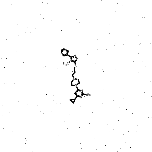 Cn1c(SCCCN2CCN(c3cc(C4CC4)nc(C(C)(C)C)n3)CC2)nnc1-c1cccnc1